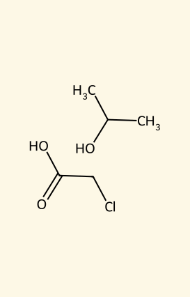 CC(C)O.O=C(O)CCl